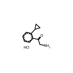 Cl.NCC(=O)c1ccccc1C1CC1